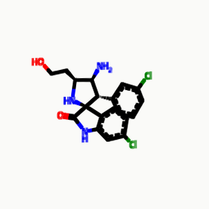 N[C@@H]1[C@H](CCO)N[C@@]2(C(=O)Nc3cc(Cl)ccc32)[C@H]1c1cccc(Cl)c1